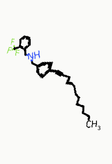 CCCCCCCCCCC#Cc1ccc(CNCc2ccccc2C(F)(F)F)cc1